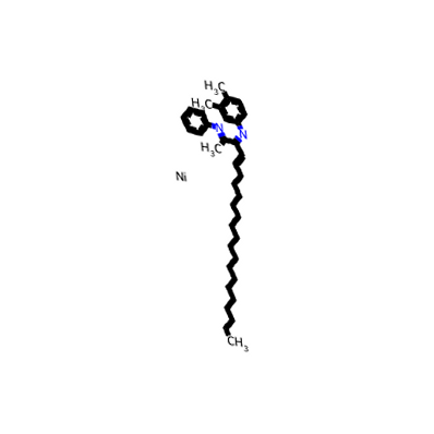 CCCCCCCCCCCCCCCCCC=CC(=Nc1ccc(C)c(C)c1)C(C)=Nc1ccccc1.[Ni]